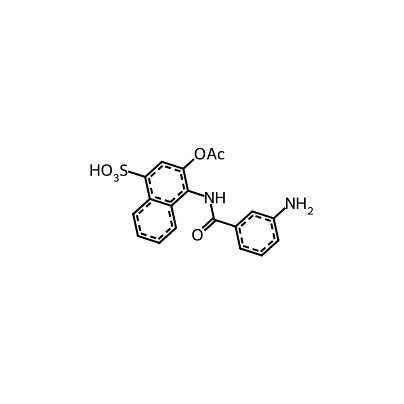 CC(=O)Oc1cc(S(=O)(=O)O)c2ccccc2c1NC(=O)c1cccc(N)c1